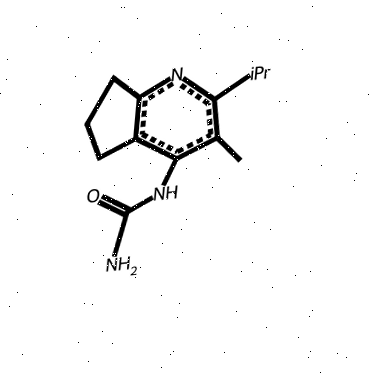 Cc1c(C(C)C)nc2c(c1NC(N)=O)CCC2